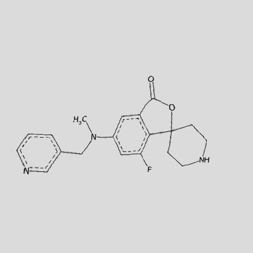 CN(Cc1cccnc1)c1cc(F)c2c(c1)C(=O)OC21CCNCC1